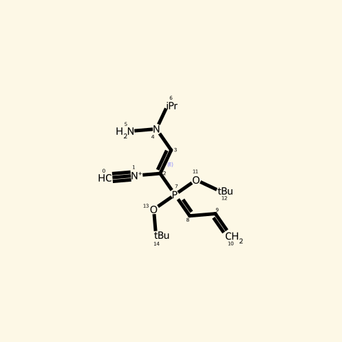 C#[N+]/C(=C\N(N)C(C)C)P(=CC=C)(OC(C)(C)C)OC(C)(C)C